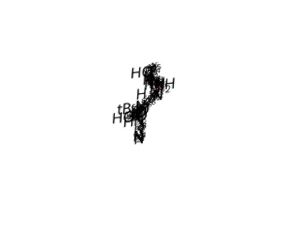 Cn1nccc1-c1ccc(CNC(=O)[C@@H]2C[C@@H](O)CN2C(=O)[C@@H](NC(=O)[C@H]2CC[C@H](c3cnc(CC4CC5CN(c6cc(-c7ccccc7O)nnc6N)CC4N5)nc3)CC2)C(C)(C)C)cc1